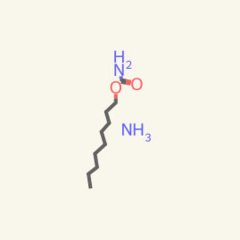 CCCCCCCCCOC(N)=O.N